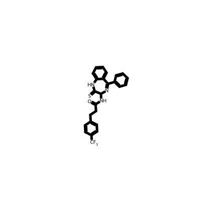 O=C(CCc1ccc(C(F)(F)F)cc1)NC1N=C(c2ccccc2)c2ccccc2NC1=S